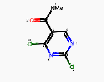 CNC(=O)c1cnc(Cl)nc1Cl